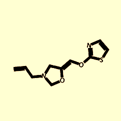 C=CCN1COC(=COc2nccs2)C1